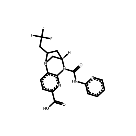 O=C(O)c1ccc2c(n1)N(C(=O)Nc1ccccn1)[C@H]1CC(CC(F)(F)F)N2C1